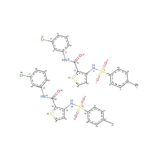 CC(C)c1ccc(S(=O)(=O)Nc2ccsc2C(=O)Nc2cccc(Cl)c2)cc1.Cc1ccc(S(=O)(=O)Nc2ccsc2C(=O)Nc2cccc(Cl)c2)cc1